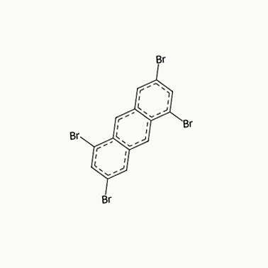 Brc1cc(Br)c2cc3cc(Br)cc(Br)c3cc2c1